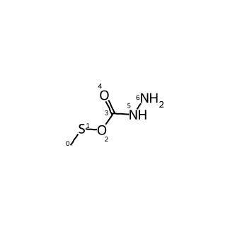 CSOC(=O)NN